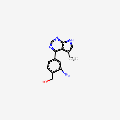 CCOC(=O)c1c[nH]c2ncnc(-c3ccc(CO)c(N)c3)c12